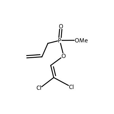 C=CCP(=O)(OC)OC=C(Cl)Cl